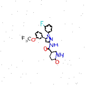 O=C1CCC(C(=O)Nc2cc(-c3cccc(OC(F)(F)F)c3)n(-c3cccc(F)c3)n2)CN1